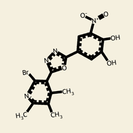 Cc1nc(Br)c(-c2nnc(-c3cc(O)c(O)c([N+](=O)[O-])c3)o2)c(C)c1C